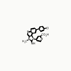 Cn1c(=N)n(-c2ccnc(C(=O)O)c2)c2c3cc(-c4ccc(Cl)cc4)ccc3ncc21